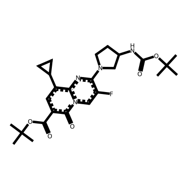 CC(C)(C)OC(=O)NC1CCN(c2nc3c(C4CC4)cc(C(=O)OC(C)(C)C)c(=O)n3cc2F)C1